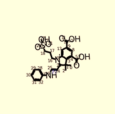 CC1(C)c2c(C(=O)O)cc(C(=O)O)cc2N(CCCS(=O)(=O)O)C1/C=C/Nc1ccccc1